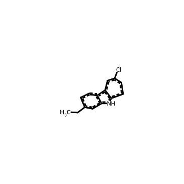 CCc1ccc2c(c1)[nH]c1ccc(Cl)cc12